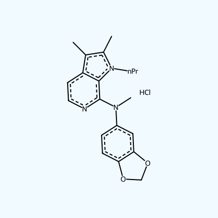 CCCn1c(C)c(C)c2ccnc(N(C)c3ccc4c(c3)OCO4)c21.Cl